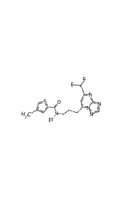 CCN(CCCc1cc(C(F)F)nc2ncnn12)C(=O)c1cc(C)cs1